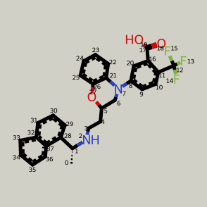 C[C@@H](NCCC1CN(c2ccc(C(F)(F)F)c(C(=O)O)c2)c2ccccc2O1)c1cccc2ccccc12